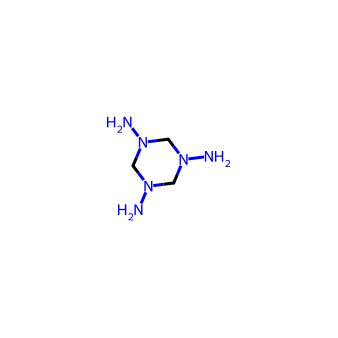 NN1CN(N)CN(N)C1